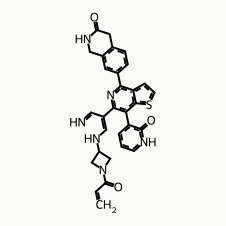 C=CC(=O)N1CC(N/C=C(\C=N)c2nc(-c3ccc4c(c3)CNC(=O)C4)c3ccsc3c2-c2ccc[nH]c2=O)C1